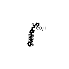 O=C(O)[C@@H]1CCCN1C(=O)C=Cc1ccc(-c2nc3cnc(Oc4ccccc4F)nc3o2)cc1